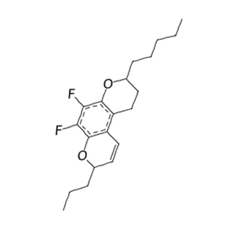 CCCCCC1CCc2c3c(c(F)c(F)c2O1)OC(CCC)C=C3